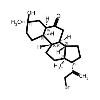 C=C(CBr)[C@H]1CC[C@H]2[C@@H]3CC(=O)[C@@H]4C[C@](C)(O)CC[C@@H]4[C@H]3CC[C@]12C